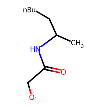 CCCCCC(C)NC(=O)C[O]